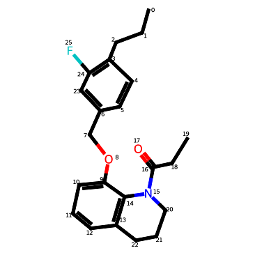 CCCc1ccc(COc2cccc3c2N(C(=O)CC)CCC3)cc1F